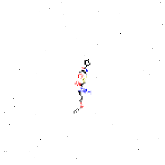 CCOCCCNC(=O)C[S+]([O-])Cc1nc(-c2ccc(C)cc2)oc1C